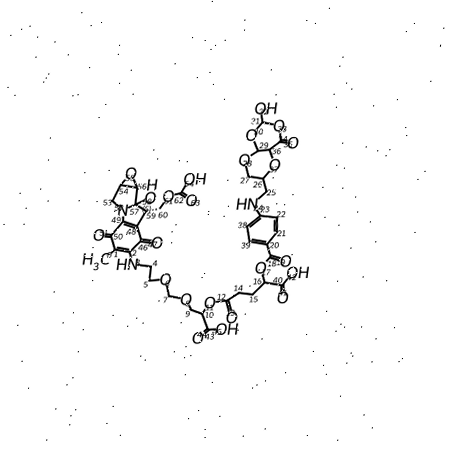 CC1=C(NCCOCOCC(OC(=O)CCC(OC(=O)c2ccc(NCC3COC4OC(O)OC(=O)C4O3)cc2)C(=O)O)C(=O)O)C(=O)C2=C(C1=O)N1CC3OC3C1(O)[C@@H]2COC(=O)O